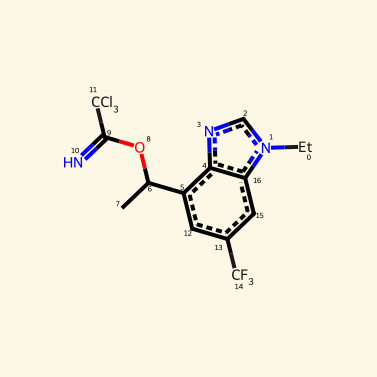 CCn1cnc2c(C(C)OC(=N)C(Cl)(Cl)Cl)cc(C(F)(F)F)cc21